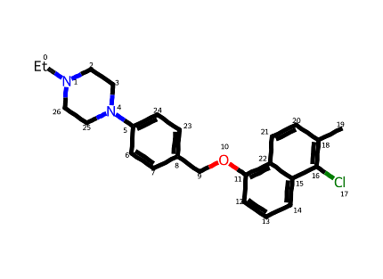 CCN1CCN(c2ccc(COc3cccc4c(Cl)c(C)ccc34)cc2)CC1